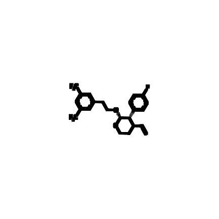 C=C[C@H]1CCO[C@H](OCCc2cc(C(F)(F)F)cc(C(F)(F)F)c2)[C@@H]1c1ccc(F)cc1